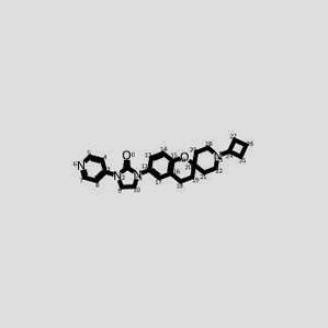 O=C1N(c2ccncc2)CCN1c1ccc2c(c1)CCC1(CCN(C3CCC3)CC1)O2